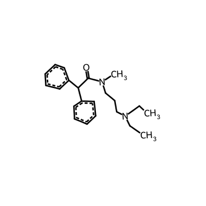 CCN(CC)CCCN(C)C(=O)C(c1ccccc1)c1ccccc1